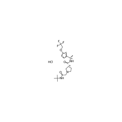 C[C@@H](NC(=O)[C@@H]1CCN(CC(=O)NC(C)(C)C)C1)c1ccc(OCC(F)(F)F)s1.Cl